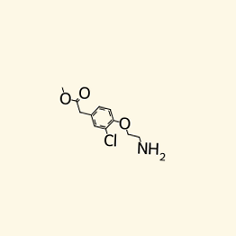 COC(=O)Cc1ccc(OCCN)c(Cl)c1